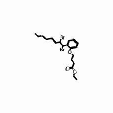 CCCCCCC(Br)C(Br)c1ccccc1OCCCC(=O)OCC